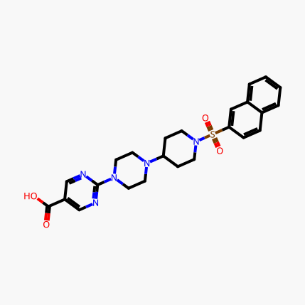 O=C(O)c1cnc(N2CCN(C3CCN(S(=O)(=O)c4ccc5ccccc5c4)CC3)CC2)nc1